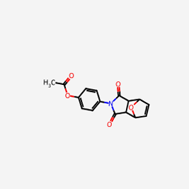 CC(=O)Oc1ccc(N2C(=O)C3C4C=CC(O4)C3C2=O)cc1